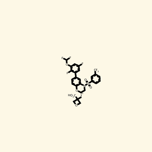 O=C(O)C1(C[C@H]2CN(S(=O)(=O)c3cccc(C(F)(F)F)c3)c3cc(-c4cc(F)cc(OC(F)F)c4F)ccc3O2)COC1